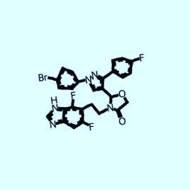 O=C1COC(c2cn(-c3ccc(Br)cc3)nc2-c2ccc(F)cc2)N1CCc1c(F)cc2nc[nH]c2c1F